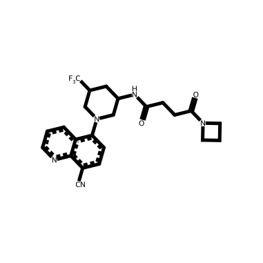 N#Cc1ccc(N2CC(NC(=O)CCC(=O)N3CCC3)CC(C(F)(F)F)C2)c2cccnc12